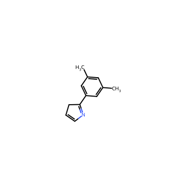 Cc1cc(C)cc(C2=NC=CC2)c1